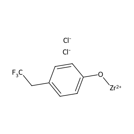 FC(F)(F)Cc1ccc([O][Zr+2])cc1.[Cl-].[Cl-]